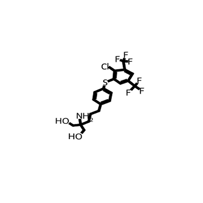 NC(CO)(CO)CCCc1ccc(Sc2cc(C(F)(F)F)cc(C(F)(F)F)c2Cl)cc1